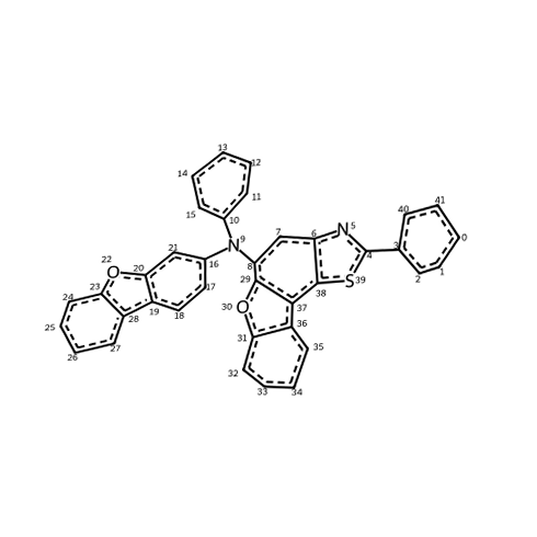 c1ccc(-c2nc3cc(N(c4ccccc4)c4ccc5c(c4)oc4ccccc45)c4oc5ccccc5c4c3s2)cc1